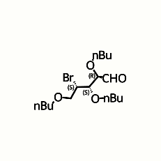 CCCCOC[C@H](Br)[C@@H](OCCCC)[C@H](C=O)OCCCC